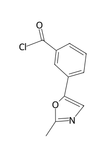 Cc1ncc(-c2cccc(C(=O)Cl)c2)o1